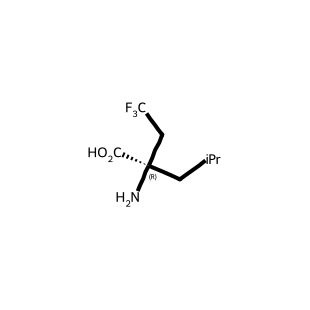 CC(C)C[C@@](N)(CC(F)(F)F)C(=O)O